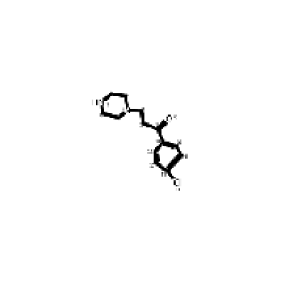 O=C(CCN1CCNCC1)c1ccc(Cl)cc1